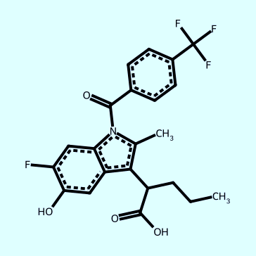 CCCC(C(=O)O)c1c(C)n(C(=O)c2ccc(C(F)(F)F)cc2)c2cc(F)c(O)cc12